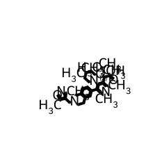 Cc1noc(C)c1CN1CCc2cc(-c3c(C)nc(C)c([C@H](OC(C)(C)C)C(=O)O)c3N3CCC(C)(C)CC3)ccc2C1